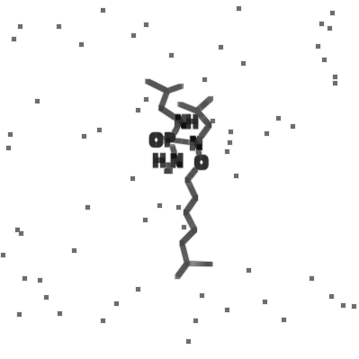 CC(C)CCCCCON(CC(C)C)P(N)(=O)NCC(C)C